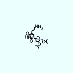 CC(C)OC[C@H]1OC(n2cc(CCCN)c(=O)[nH]c2=O)CC1OC(C)C